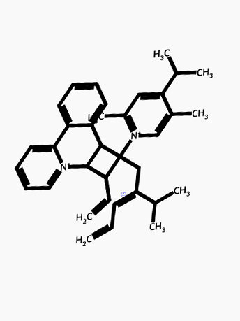 C=C/C=C(/CC1([n+]2cc(C)c(C(C)C)cc2C)C(C=C)C2C1c1ccccc1-c1cccc[n+]12)C(C)C